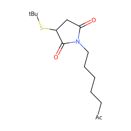 CC(=O)CCCCCN1C(=O)CC(SC(C)(C)C)C1=O